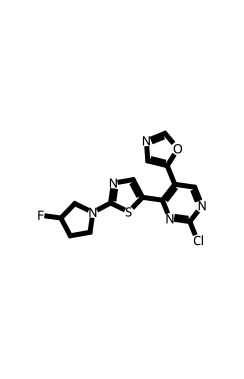 FC1CCN(c2ncc(-c3nc(Cl)ncc3-c3cnco3)s2)C1